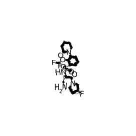 NC[C@H](NS(=O)(=O)c1cccc(N2CCCCC2=O)c1OC(F)F)C(=O)N1CC[C@H](F)C1